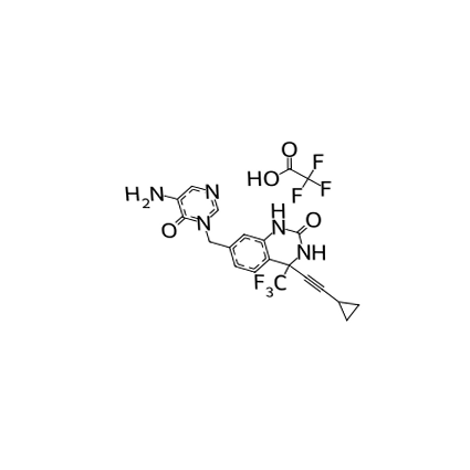 Nc1cncn(Cc2ccc3c(c2)NC(=O)NC3(C#CC2CC2)C(F)(F)F)c1=O.O=C(O)C(F)(F)F